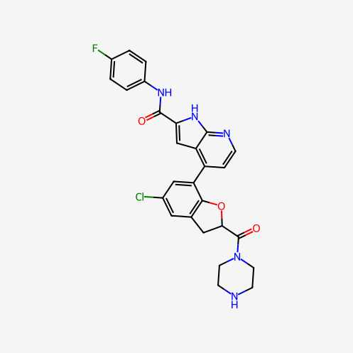 O=C(Nc1ccc(F)cc1)c1cc2c(-c3cc(Cl)cc4c3OC(C(=O)N3CCNCC3)C4)ccnc2[nH]1